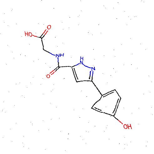 O=C(O)CNC(=O)c1cc(-c2ccc(O)cc2)n[nH]1